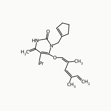 C=C/C(C)=C\C(C)=COC1=C(C(C)C)C(=C)NC(=O)N1CC1=CCCC1